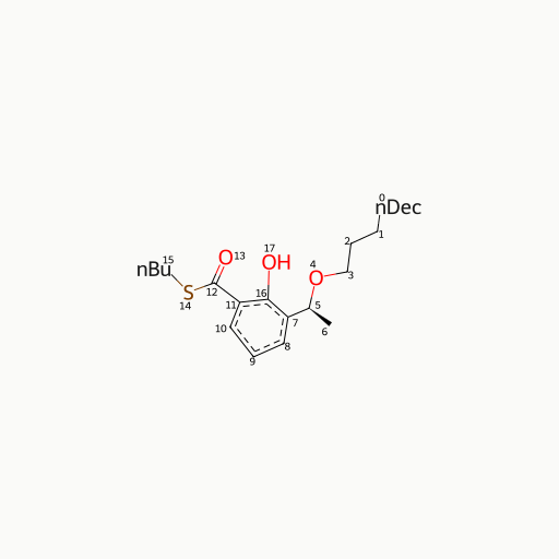 CCCCCCCCCCCCCO[C@@H](C)c1cccc(C(=O)SCCCC)c1O